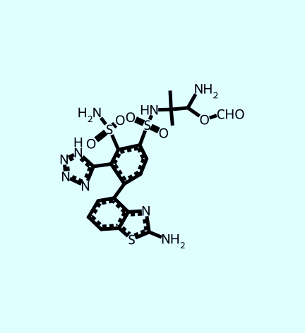 CC(C)(NS(=O)(=O)c1ccc(-c2cccc3sc(N)nc23)c(-c2nnn[nH]2)c1S(N)(=O)=O)C(N)OC=O